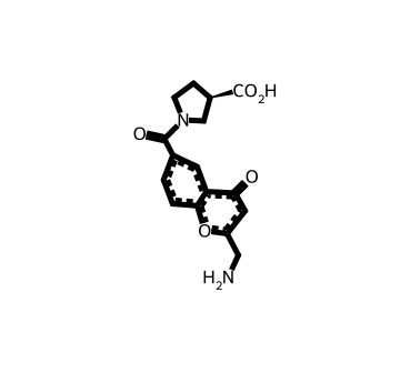 NCc1cc(=O)c2cc(C(=O)N3CC[C@@H](C(=O)O)C3)ccc2o1